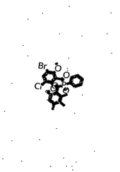 COc1c(Cl)cc(Br)c(OC)c1C(=O)P(=O)(C(=O)c1c(C)cc(C)c(C)c1C)c1ccccc1